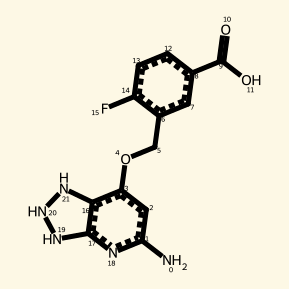 Nc1cc(OCc2cc(C(=O)O)ccc2F)c2c(n1)NNN2